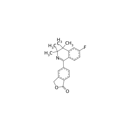 CC1(C)N=C(c2ccc3c(c2)COC3=O)c2ccc(F)cc2C1(C)C